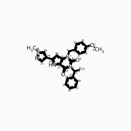 COc1ccc(Cn2c(=O)n(C(F)c3ccccc3)c(=O)c3[nH]c(-c4cnn(C)c4)cc32)cc1